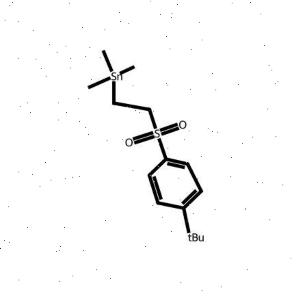 CC(C)(C)c1ccc(S(=O)(=O)C[CH2][Sn]([CH3])([CH3])[CH3])cc1